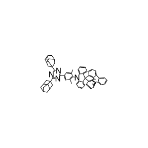 Cc1cc(-c2nc(C34CC5CC(CC(C5)C3)C4)nc(C34CC5CC(CC(C5)C3)C4)n2)cc(C)c1N1c2ccccc2C(c2ccccc2)(c2cccc3c2sc2ccccc23)c2ccccc21